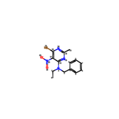 CCN(Cc1ccccc1)c1nc(C)nc(S)c1[N+](=O)[O-]